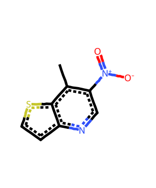 Cc1c([N+](=O)[O-])cnc2ccsc12